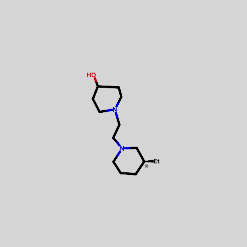 CC[C@H]1CCCN(CCN2CCC(O)CC2)C1